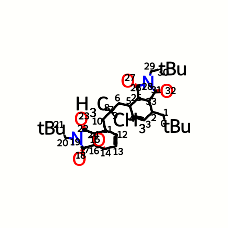 CC(C)(C)CC1C=CC(CC(C)(C)CC23C=CC(O2)C2C(=O)N(CC(C)(C)C)C(=O)C23)C2C(=O)N(CC(C)(C)C)C(=O)C12